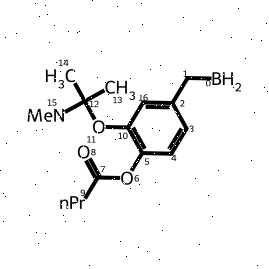 BCc1ccc(OC(=O)CCC)c(OC(C)(C)NC)c1